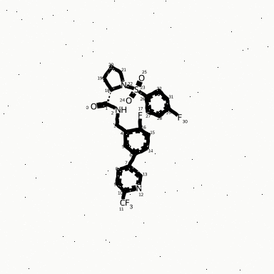 O=C(NCc1cc(-c2ccc(C(F)(F)F)nc2)ccc1F)[C@@H]1CCCN1S(=O)(=O)c1ccc(F)cc1